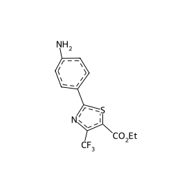 CCOC(=O)c1sc(-c2ccc(N)cc2)nc1C(F)(F)F